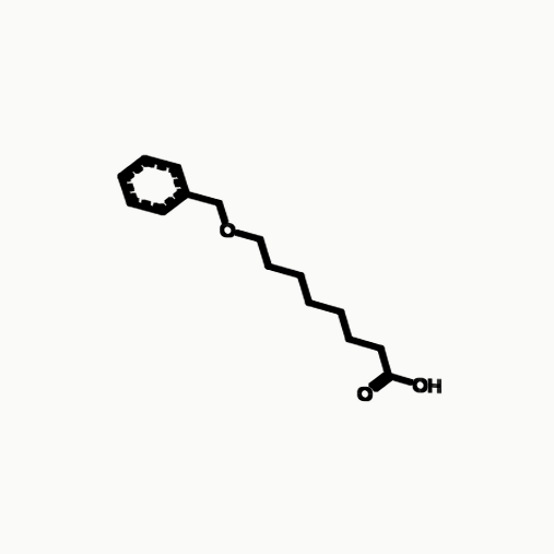 O=C(O)CCCCCCCOCc1ccccc1